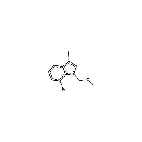 COCn1cc(I)c2cccc(Br)c21